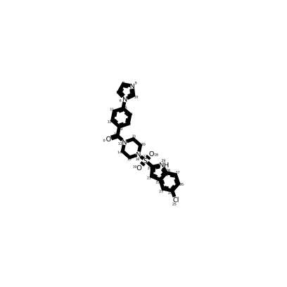 O=C(c1ccc(-n2ccnc2)cc1)N1CCN(S(=O)(=O)c2cc3cc(Cl)ccc3[nH]2)CC1